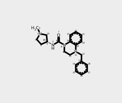 CN1CC[C@@H](NC(=O)N2CCN(Cc3ccccc3)c3ccccc32)C1